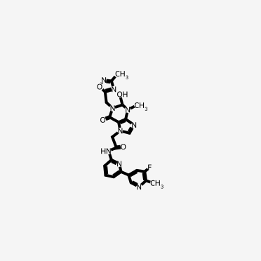 Cc1noc(CN2C(=O)c3c(ncn3CC(=O)Nc3cccc(-c4cnc(C)c(F)c4)n3)N(C)C2O)n1